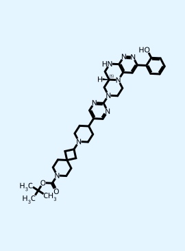 CC(C)(C)OC(=O)N1CCC2(CC1)CC(N1CCC(c3cnc(N4CCN5c6cc(-c7ccccc7O)nnc6NC[C@H]5C4)nc3)CC1)C2